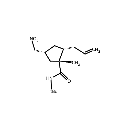 C=CC[C@H]1C[C@@H](C[N+](=O)[O-])C[C@@]1(C)C(=O)NC(C)(C)C